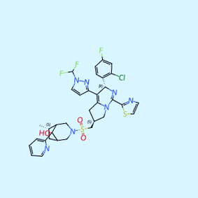 C[C@H]1CC2CN(S(=O)(=O)C[C@H]3CC4=C(c5ccn(C(F)F)n5)[C@H](c5ccc(F)cc5Cl)N=C(c5nccs5)N4C3)CC1C2(O)c1ccccn1